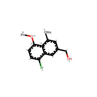 COc1cc(CO)cc2c(Br)ccc(OC(C)C)c12